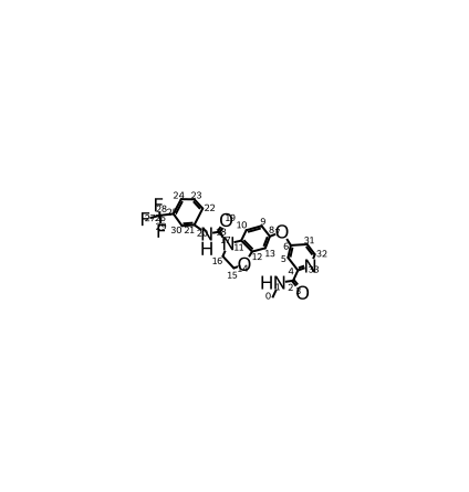 CNC(=O)c1cc(Oc2ccc3c(c2)OCCN3C(=O)Nc2cccc(C(F)(F)F)c2)ccn1